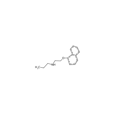 CCCNCCOc1cccc2ccccc12